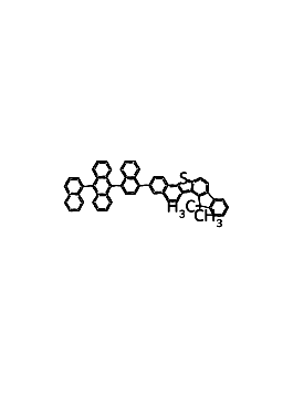 CC1(C)c2ccccc2-c2ccc3sc4c5ccc(-c6ccc(-c7c8ccccc8c(-c8cccc9ccccc89)c8ccccc78)c7ccccc67)cc5ccc4c3c21